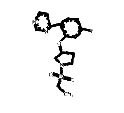 CCS(=O)(=O)N1CCC(Oc2cc(F)ccc2-c2ccncn2)C1